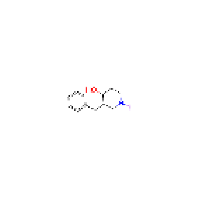 OC1CCN(I)CC1Cc1ccccc1